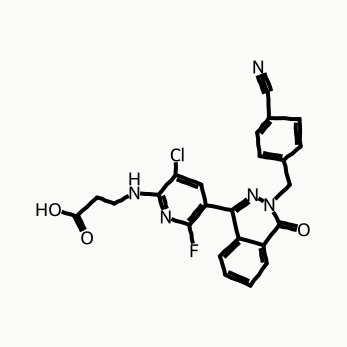 N#Cc1ccc(Cn2nc(-c3cc(Cl)c(NCCC(=O)O)nc3F)c3ccccc3c2=O)cc1